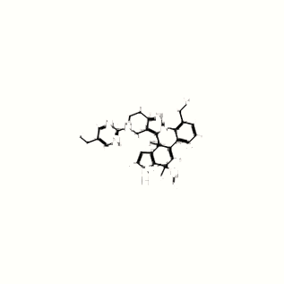 CCc1cnc(N2CCc3nn4c(c3C2)C2(C)C(=CC(C)(OC)c3[nH]ccc32)c2cccc(CC)c2-4)nc1